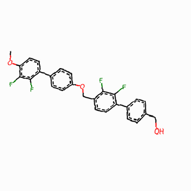 COc1ccc(-c2ccc(OCc3ccc(-c4ccc(CO)cc4)c(F)c3F)cc2)c(F)c1F